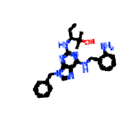 CCC(Nc1nc(NCc2ccccc2N)c2ncn(Cc3ccccc3)c2n1)C(C)(C)O